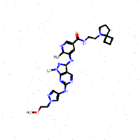 COCCn1cc(Nc2ncc3c(n2)N(C)NC3NC2=CC(C(=O)NCCN3CCCC34CCC4)=CNC2C)cn1